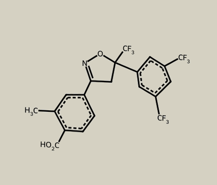 Cc1cc(C2=NOC(c3cc(C(F)(F)F)cc(C(F)(F)F)c3)(C(F)(F)F)C2)ccc1C(=O)O